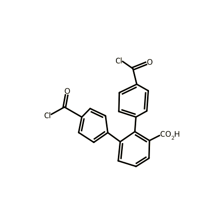 O=C(Cl)c1ccc(-c2cccc(C(=O)O)c2-c2ccc(C(=O)Cl)cc2)cc1